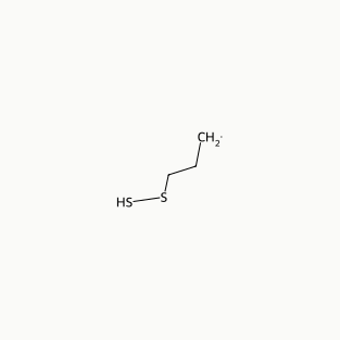 [CH2]CCSS